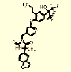 CCCc1cc(C(O)(C(F)(F)F)C(F)(F)F)ccc1Oc1cc(CN2C(=O)NC(C)(c3ccc4c(c3)CCO4)C2=O)ccn1